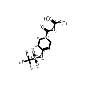 C=C(C)OC(=O)N1CC=C(OS(=O)(=O)C(F)(F)F)CC1